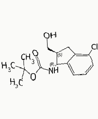 CC(C)(C)OC(=O)N[C@H]1c2cccc(Cl)c2C[C@@H]1CO